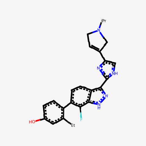 CCc1cc(O)ccc1-c1ccc2c(-c3nc(C4=CCN(C(C)C)C4)c[nH]3)n[nH]c2c1F